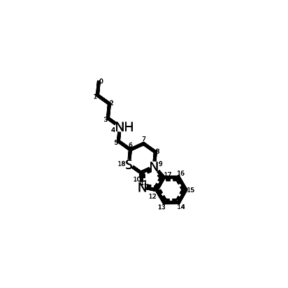 CCCCNCC1CCn2c(nc3ccccc32)S1